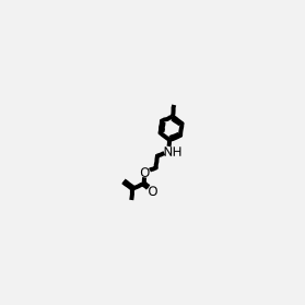 C=C(C)C(=O)OCCNc1ccc(C)cc1